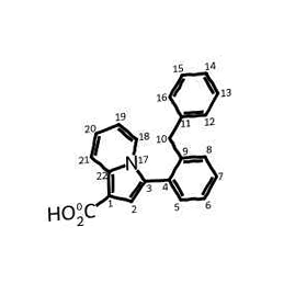 O=C(O)c1cc(-c2ccccc2Cc2ccccc2)n2ccccc12